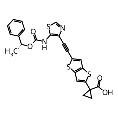 C[C@@H](OC(=O)Nc1scnc1C#Cc1cc2sc(C3(C(=O)O)CC3)cc2s1)c1ccccc1